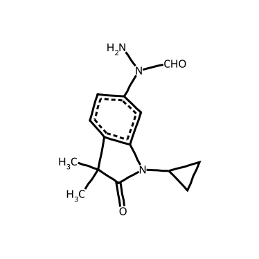 CC1(C)C(=O)N(C2CC2)c2cc(N(N)C=O)ccc21